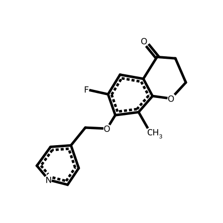 Cc1c(OCc2ccncc2)c(F)cc2c1OCCC2=O